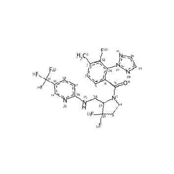 Cc1ccc(C(=O)N2CCC(F)(F)C2CNc2ccc(C(F)(F)F)cn2)c(-n2nccn2)c1F